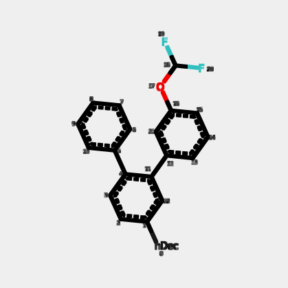 CCCCCCCCCCc1ccc(-c2ccccc2)c(-c2cccc(OC(F)F)c2)c1